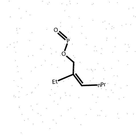 CCCC=C(CC)COP=O